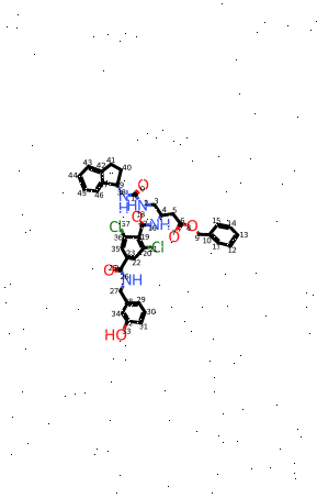 O=C(NCC(CC(=O)OCc1ccccc1)NC(=O)c1c(Cl)cc(C(=O)NCc2cccc(O)c2)cc1Cl)N[C@@H]1CCc2ccccc21